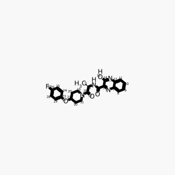 C[C@H](NC(=O)c1nc2ccccc2nc1O)C(=O)N1CCC(Oc2ccc(F)cc2)CC1